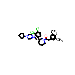 O=C(Cc1cc(C(F)(F)F)cc(C(F)(F)F)c1)N1CCCC[C@@](CCN2CCN(C3CCCCC3)CC2)(c2ccc(Cl)c(Cl)c2)C1